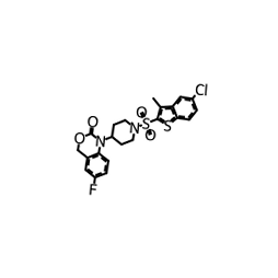 Cc1c(S(=O)(=O)N2CCC(N3C(=O)OCc4cc(F)ccc43)CC2)sc2ccc(Cl)cc12